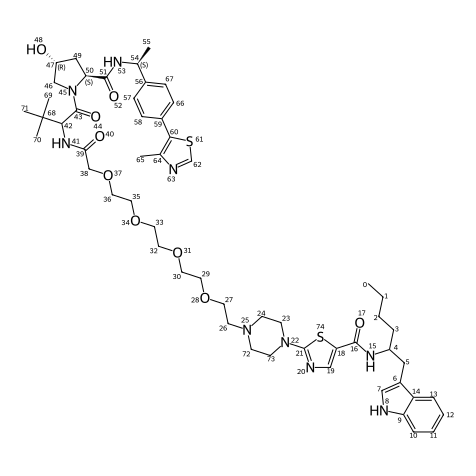 CCCCC(Cc1c[nH]c2ccccc12)NC(=O)c1cnc(N2CCN(CCOCCOCCOCCOCC(=O)NC(C(=O)N3C[C@H](O)C[C@H]3C(=O)N[C@@H](C)c3ccc(-c4scnc4C)cc3)C(C)(C)C)CC2)s1